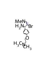 CN/C=C(/Br)C(N)c1ccc(OCCN(C)C)cc1